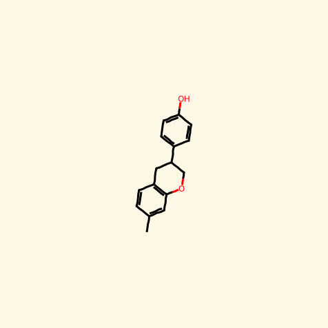 Cc1ccc2c(c1)OCC(c1ccc(O)cc1)C2